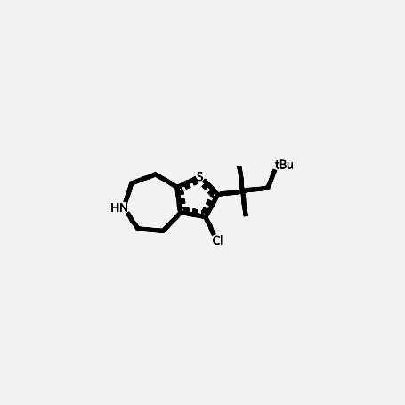 CC(C)(C)CC(C)(C)c1sc2c(c1Cl)CCNCC2